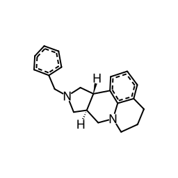 c1ccc(CN2C[C@@H]3CN4CCCc5cccc(c54)[C@H]3C2)cc1